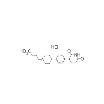 Cl.O=C(O)CCCN1CCC(c2ccc(C3CCC(=O)NC3=O)cc2)CC1